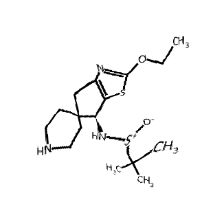 CCOc1nc2c(s1)[C@@H](N[S+]([O-])C(C)(C)C)C1(CCNCC1)C2